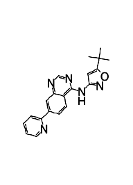 CC(C)(C)c1cc(Nc2ncnc3cc(-c4ccccn4)ccc23)no1